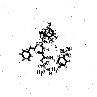 CN(C)S(=O)(=O)CC(N)C(=O)N[C@@H](CCCc1ccccc1)B1O[C@@H]2C[C@@H]3C[C@@H](C3(C)C)[C@]2(C)O1.Cc1ccc(S(=O)(=O)O)cc1